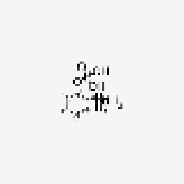 N.N.O=P(O)(O)Oc1ccccc1